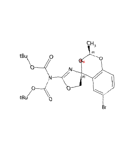 C[C@H]1Oc2ccc(Br)cc2[C@@]2(COC(N(C(=O)OC(C)(C)C)C(=O)OC(C)(C)C)=N2)C12COC2